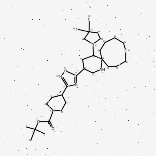 CC(C)(C)OC(=O)N1CCC(c2noc(C3CNC4(CCCCCCCC4)C(N4CCC(F)(F)C4)C3)n2)CC1